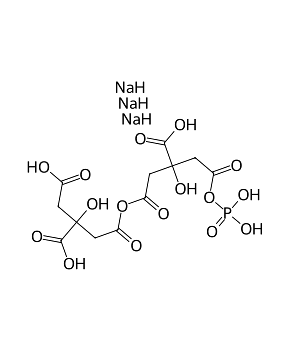 O=C(O)CC(O)(CC(=O)OC(=O)CC(O)(CC(=O)OP(=O)(O)O)C(=O)O)C(=O)O.[NaH].[NaH].[NaH]